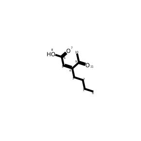 CCCCC(=CC(=O)O)C(C)=O